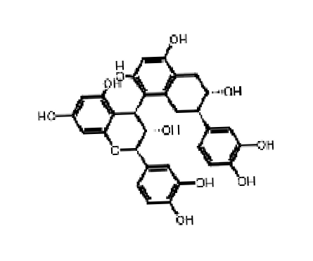 Oc1cc(O)c2c(c1)O[C@H](c1ccc(O)c(O)c1)[C@@H](O)[C@@H]2c1c(O)cc(O)c2c1C[C@H](c1ccc(O)c(O)c1)[C@@H](O)C2